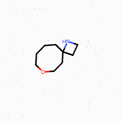 C1CCC2(CCN2)CCOC1